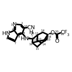 N#Cc1cnc2[nH]ccc2c1N[C@H]1C2CC3CC1C[C@@](OC(=O)C(F)(F)F)(C3)C2